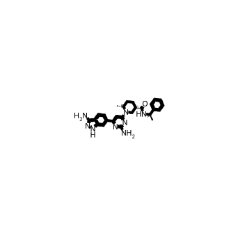 C[C@@H]1CC[C@H](C(=O)N[C@H](C)c2ccccc2)CN1c1cc(-c2ccc3c(N)n[nH]c3c2)nc(N)n1